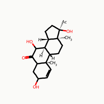 CC(=O)[C@@]1(O)CC[C@H]2[C@@H]3C(O)C(=O)C4CC(O)C=C[C@]4(C)[C@H]3CC[C@@]21C